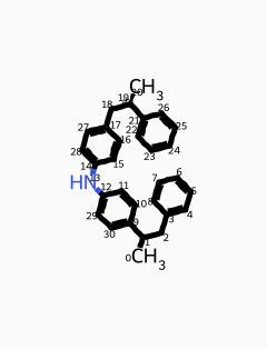 CC(Cc1ccccc1)c1ccc(Nc2ccc(C[C@@H](C)c3ccccc3)cc2)cc1